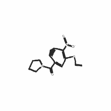 CCOc1cc(C(=O)N2CCCC2)ccc1[N+](=O)[O-]